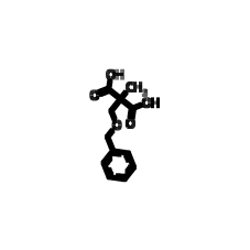 CC(COCc1ccccc1)(C(=O)O)C(=O)O